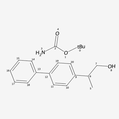 CC(C)(C)OC(N)=O.CC(CO)c1ccc(-c2ccccc2)cc1